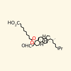 CC(C)CCC[C@@H](C)[C@H]1CC[C@H]2[C@@H]3CC=C4CC(CC=O)(OC(=O)CCCCCCCCC(=O)O)CC[C@]4(C)[C@H]3CC[C@]12C